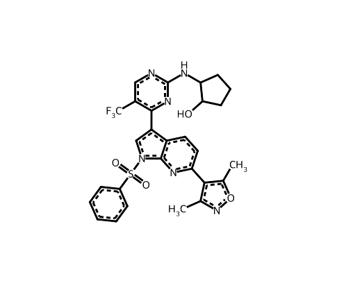 Cc1noc(C)c1-c1ccc2c(-c3nc(NC4CCCC4O)ncc3C(F)(F)F)cn(S(=O)(=O)c3ccccc3)c2n1